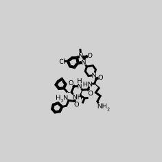 CC(C)C[C@@H](NC(=O)[C@@H](Cc1ccccc1)NC(=O)[C@H](N)Cc1ccccc1)C(=O)N[C@H](CCCCN)C(=O)N1CCC(n2c(=O)n(C)c3cc(Cl)ccc32)CC1